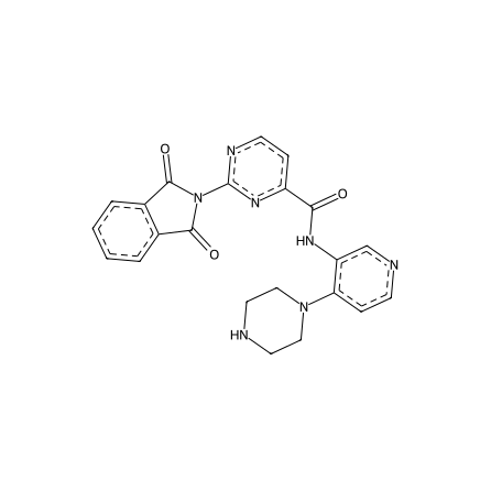 O=C(Nc1cnccc1N1CCNCC1)c1ccnc(N2C(=O)c3ccccc3C2=O)n1